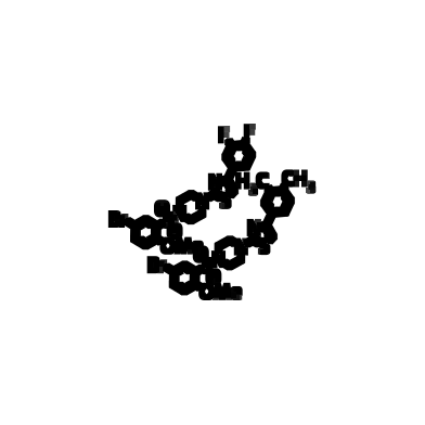 COc1ccc(Br)cc1S(=O)(=O)N1CCN(c2nc(-c3ccc(C)c(C)c3)cs2)CC1.COc1ccc(Br)cc1S(=O)(=O)N1CCN(c2nc(-c3ccc(F)c(F)c3)cs2)CC1